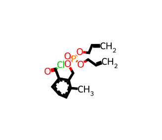 C=CCOP(=O)(OCC=C)OCc1c(C)cccc1C(=O)Cl